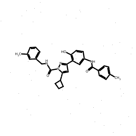 Cc1ccc(C(=O)Nc2ccc(O)c(-c3cc(C4CCC4)n(C(=O)NCc4cccc(C)c4)n3)c2)cc1